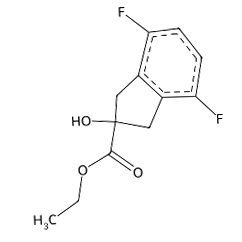 CCOC(=O)C1(O)Cc2c(F)ccc(F)c2C1